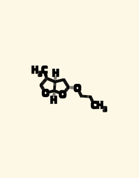 CCCO[C@H]1C[C@H]2[C@H](OC[C@H]2C)O1